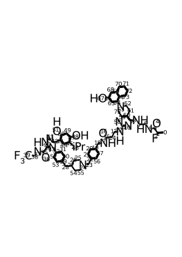 C=C(F)C(=O)NCCNc1nc(NCCC(=O)NCc2ccc(CN3CCC(Cc4ccc(-n5c(C(=O)NCC(F)(F)F)nnc5-c5cc(C(C)C)c(O)cc5O)cc4)CC3)cc2)nc2c1CCN(c1cc(O)cc3ccccc13)C2